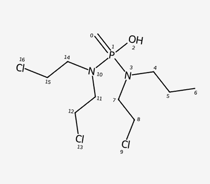 C=P(O)(N(CCC)CCCl)N(CCCl)CCCl